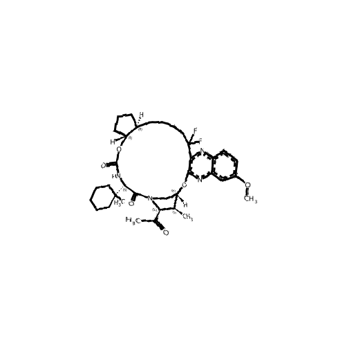 COc1ccc2nc3c(nc2c1)O[C@H]1CN(C(=O)[C@H](C2(C)CCCCC2)NC(=O)O[C@@H]2CCC[C@H]2CCCCC3(F)F)[C@H](C(C)=O)[C@@H]1C